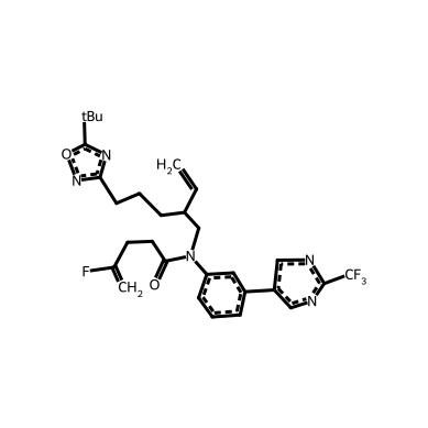 C=CC(CCCc1noc(C(C)(C)C)n1)CN(C(=O)CCC(=C)F)c1cccc(-c2cnc(C(F)(F)F)nc2)c1